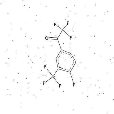 O=C(c1ccc(F)c(C(F)(F)F)c1)C(F)(F)F